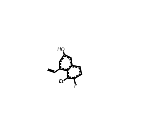 C=Cc1cc(O)cc2ccc(F)c(CC)c12